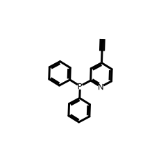 C#Cc1ccnc(P(c2ccccc2)c2ccccc2)c1